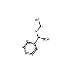 CCCC(CCC(C)C)c1ccccc1